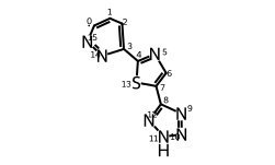 [c]1ccc(-c2ncc(-c3nn[nH]n3)s2)nn1